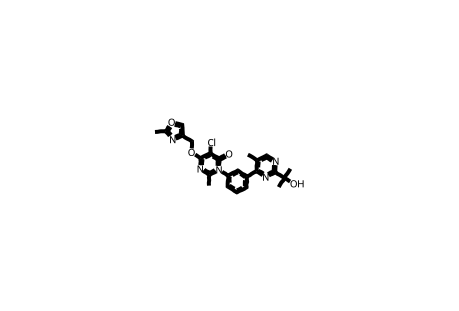 Cc1nc(COc2nc(C)n(-c3cccc(-c4nc(C(C)(C)O)ncc4C)c3)c(=O)c2Cl)co1